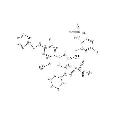 CCS(=O)(=O)Nc1ccc(Cl)cc1CNc1nc(-c2cc(F)c(OCc3ccccc3)cc2CC(F)(F)F)cc2c1c(C(=O)NC(C)(C)C)nn2C1CCCCO1